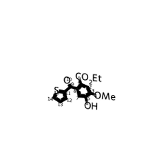 CCOC(=O)c1cc(OC)c(O)cc1C(=O)c1cccs1